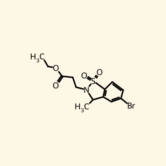 CCOC(=O)CCN1C(C)c2cc(Br)ccc2S1(=O)=O